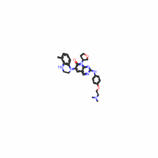 Cc1cccc2c1NCCN2c1cc2cnc(Nc3ccc(OCCN(C)C)cc3)nc2n(C2CCOC2)c1=O